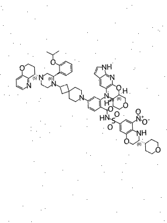 CC(C)Oc1ccccc1[C@@H]1CN([C@H]2CCOc3cccnc32)CCN1C1CC2(CCN(c3ccc(C(=O)NS(=O)(=O)c4cc5c(c([N+](=O)[O-])c4)N[C@H](C4CCOCC4)CO5)c(N4c5cc6cc[nH]c6nc5O[C@H]5COCC[C@@H]54)c3)CC2)C1